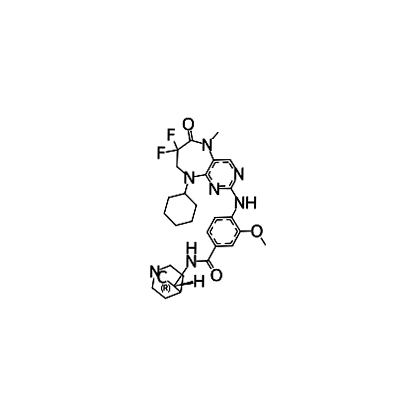 COc1cc(C(=O)N[C@H]2CN3CCC2CC3)ccc1Nc1ncc2c(n1)N(C1CCCCC1)CC(F)(F)C(=O)N2C